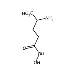 NC(CCC(=O)NO)C(=O)O